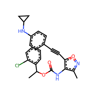 Cc1noc(C#Cc2ccc(NC3CC3)cc2)c1NC(=O)OC(C)c1ccccc1Cl